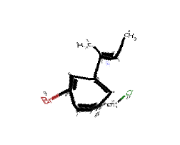 C/C=C(\C)c1cccc(Br)c1.CCCCCCl